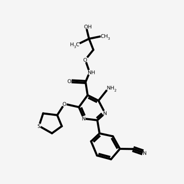 CC(C)(O)CONC(=O)c1c(N)nc(-c2cccc(C#N)c2)nc1OC1CCSC1